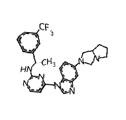 C[C@H](Nc1nccc(-n2cnc3cc(N4CC5CCCN5C4)ccc32)n1)c1cccc(C(F)(F)F)c1